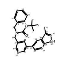 CC(C)(C)OC(=O)N(Cc1ccccc1)Cc1cncc(-c2cnc3[nH]nc(I)c3c2)c1